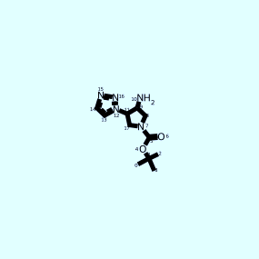 CC(C)(C)OC(=O)N1CC(N)C(n2ccnn2)C1